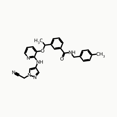 Cc1ccc(CNC(=O)c2cccc(C(C)Oc3cccnc3Nc3cnn(CC#N)c3)c2)cc1